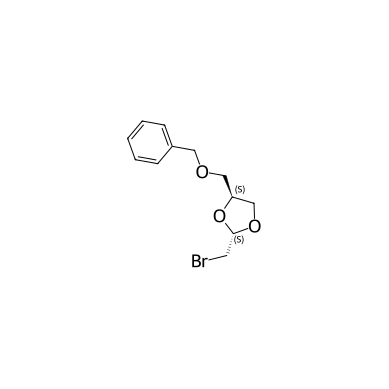 BrC[C@H]1OC[C@H](COCc2ccccc2)O1